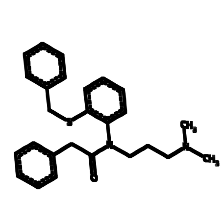 CN(C)CCCN(C(=O)Cc1ccccc1)c1ccccc1SCc1ccccc1